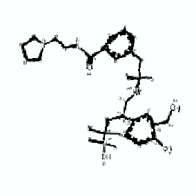 CC(C)(Cc1cccc(C(=O)NCCN2CCCC2)c1)NC[C@H](CC(C)(C)[Si](C)(C)O)c1ccc(O)c(CO)c1